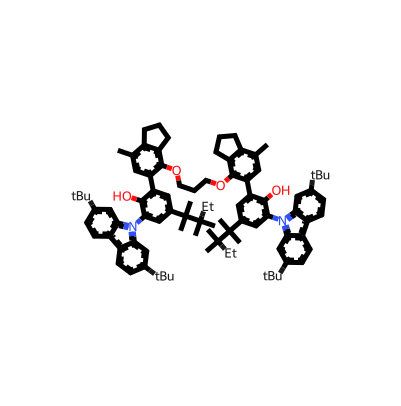 CCC(C)(C)C(C)(C)c1cc(-c2cc(C)c3c(c2OCCCOc2c(-c4cc(C(C)(C)C(C)(C)CC)cc(-n5c6cc(C(C)(C)C)ccc6c6ccc(C(C)(C)C)cc65)c4O)cc(C)c4c2CCC4)CCC3)c(O)c(-n2c3cc(C(C)(C)C)ccc3c3ccc(C(C)(C)C)cc32)c1